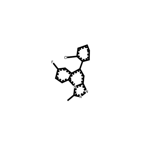 Cc1nnc2cc(-c3ccccc3Cl)c3cc(F)ccc3n12